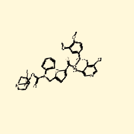 COc1ccc([C@H](Cc2c(Cl)cncc2Cl)OC(=O)c2ccc(CN(C(=O)O[C@H]3CN4CCC3CC4)c3ccccc3)o2)cc1OC